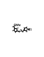 CCN1CCC(COCN2CCC(COC)C2)C1